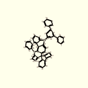 c1ccc(-c2cc(-c3ccccc3)cc(-n3c4ccccc4c4c5c(ccc43)C3(c4ccccc4-c4ccccc43)c3ccccc3N5c3ccccc3)c2)cc1